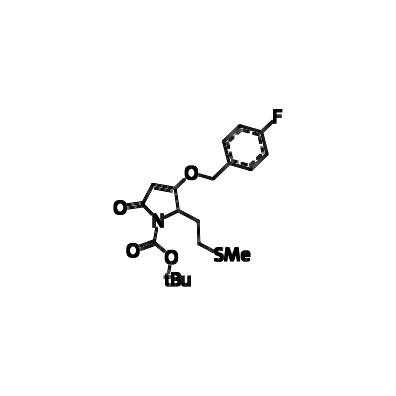 CSCCC1C(OCc2ccc(F)cc2)=CC(=O)N1C(=O)OC(C)(C)C